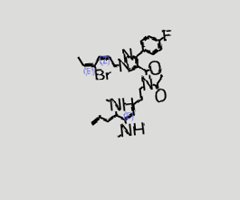 C=CCC(NC)/C(=C\CCCN1C(=O)COC1c1cn(C/C=C\C(Br)=C/C)nc1-c1ccc(F)cc1)NC